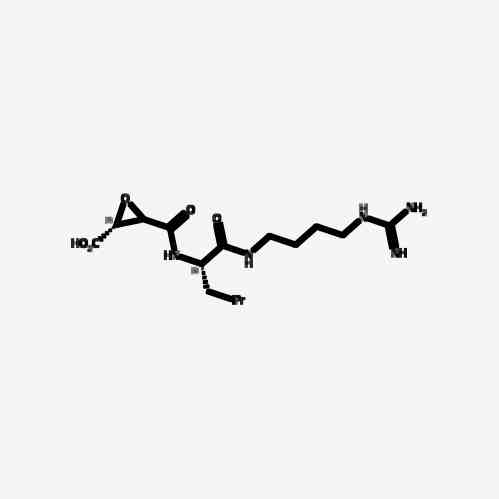 CC(C)C[C@H](NC(=O)C1O[C@H]1C(=O)O)C(=O)NCCCCNC(=N)N